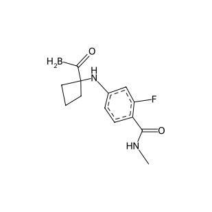 BC(=O)C1(Nc2ccc(C(=O)NC)c(F)c2)CCC1